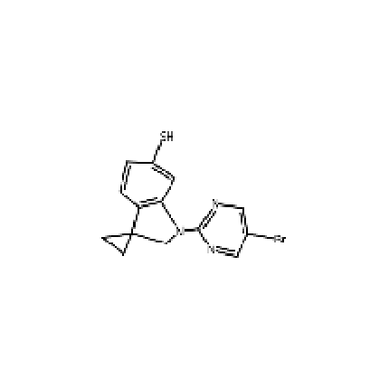 Sc1ccc2c(c1)N(c1ncc(Br)cn1)CC21CC1